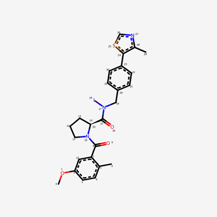 COc1ccc(C)c(C(=O)N2CCC[C@H]2C(=O)N(I)Cc2ccc(-c3scnc3C)cc2)c1